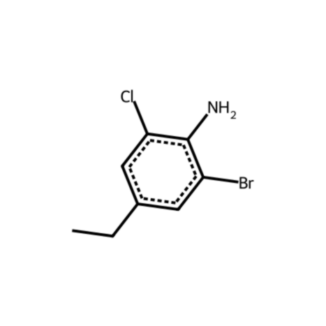 CCc1cc(Cl)c(N)c(Br)c1